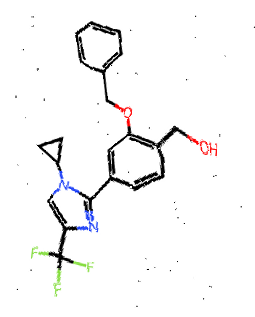 OCc1ccc(-c2nc(C(F)(F)F)cn2C2CC2)cc1OCc1ccccc1